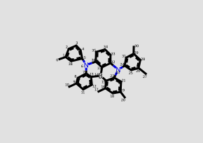 Cc1cccc(N2c3cc(C)ccc3B3c4c(C)cc(C)cc4N(c4cc(C)cc(C)c4)c4cccc2c43)c1